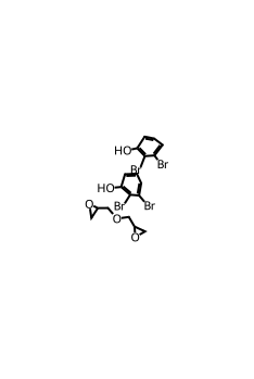 C(OCC1CO1)C1CO1.Oc1cccc(Br)c1Br.Oc1cccc(Br)c1Br